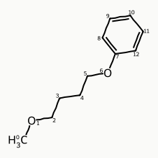 COCCCCOc1ccccc1